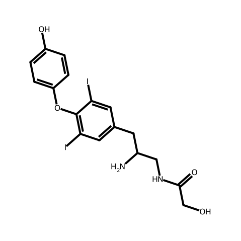 NC(CNC(=O)CO)Cc1cc(I)c(Oc2ccc(O)cc2)c(I)c1